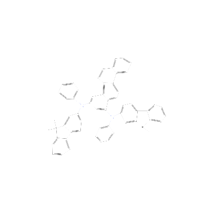 CC1(C)c2ccccc2-c2ccc(N(c3ccccc3)c3cc(N(c4ccccc4)c4ccc5c(c4)C(C)(C)c4ccccc4-5)c4ccc5c6ccccc6ccc5c4c3)cc21